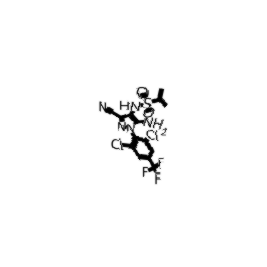 CC(C)S(=O)(=O)Nc1c(C#N)nn(-c2c(Cl)cc(C(F)(F)F)cc2Cl)c1N